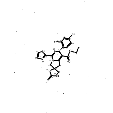 CCOC(=O)C1=C2CC3(CNC(=O)O3)CN2C(c2nccs2)=N[C@H]1c1ccc(F)cc1Cl